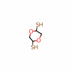 SC1COC(S)CO1